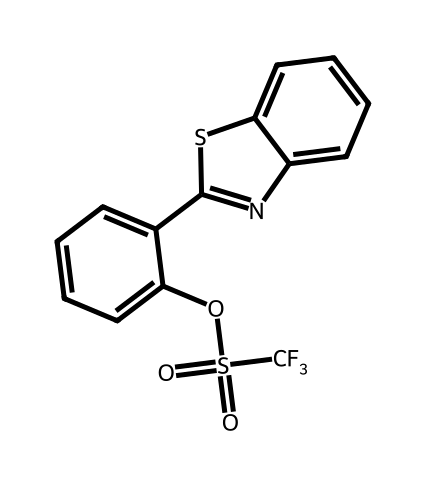 O=S(=O)(Oc1ccccc1-c1nc2ccccc2s1)C(F)(F)F